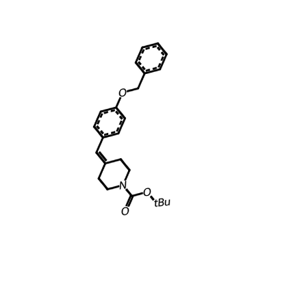 CC(C)(C)OC(=O)N1CCC(=Cc2ccc(OCc3ccccc3)cc2)CC1